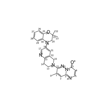 Cc1cc2nccc(=O)n2nc1N1CCc2ncc(N3CC(C)(C)Oc4ccccc43)cc2C1